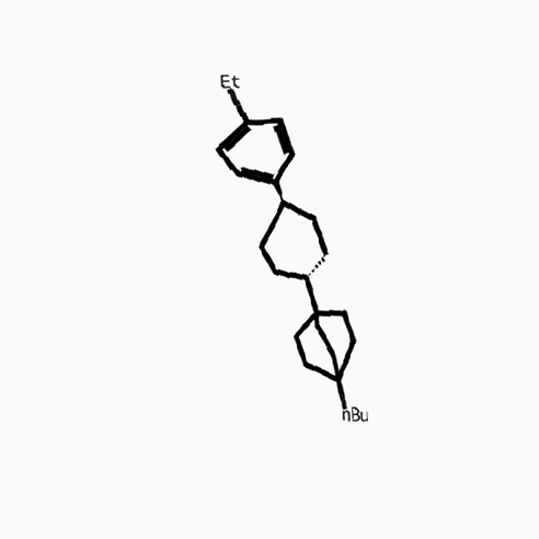 CCCCC12CCC([C@H]3CC[C@H](c4ccc(CC)cc4)CC3)(CC1)CC2